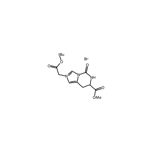 COC(=O)C1Cc2c[n+](CC(=O)OC(C)(C)C)cn2C(=O)N1.[Br-]